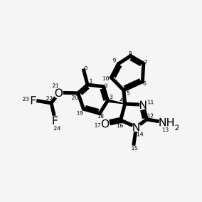 Cc1cc([C@@]2(c3ccccc3)N=C(N)N(C)C2=O)ccc1OC(F)F